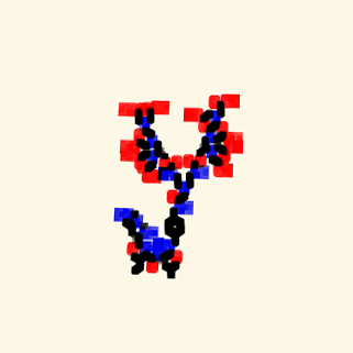 CCC(C)[C@H](NC(=O)[C@H](Cc1c[nH]cn1)NC)C(=O)N[C@@H](CC(C)C)C(=O)NCc1ccc(CNC(=O)CN(CCNC(=O)OC[C@@H](CN(CCN(CC(=O)O)CC(=O)O)CC(=O)O)N(CC(=O)O)CC(=O)O)CCNC(=O)OC[C@@H](CN(CCN(CC(=O)O)CC(=O)O)CC(=O)O)N(CC(=O)O)CC(=O)O)cc1